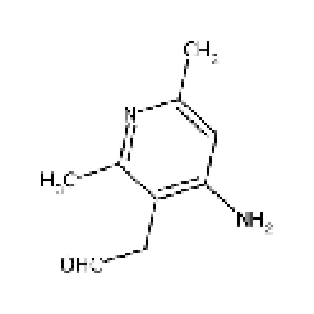 Cc1cc(N)c(CC=O)c(C)n1